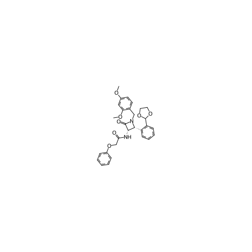 COc1ccc(CN2C(=O)[C@@H](NC(=O)COc3ccccc3)[C@H]2c2ccccc2C2OCCO2)c(OC)c1